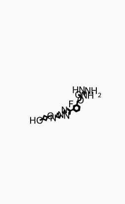 N=C(N)NC(=O)OCc1cccc(-c2cnc(N3CC(=NOC4CC(O)C4)C3)nc2)c1F